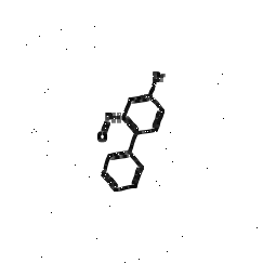 Brc1ccc(-c2ccccc2)cc1.O=P